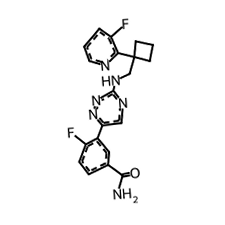 NC(=O)c1ccc(F)c(-c2cnc(NCC3(c4ncccc4F)CCC3)nn2)c1